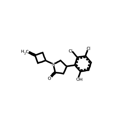 C=C1CC(N2CC(c3c(O)ccc(Cl)c3Cl)CC2=O)C1